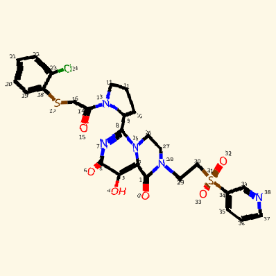 O=C1c2c(O)c(=O)nc(C3CCCN3C(=O)CSc3ccccc3Cl)n2CCN1CCS(=O)(=O)c1cccnc1